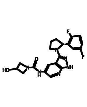 O=C(Nc1cnc2[nH]nc(N3CCC[C@@H]3c3cc(F)ccc3F)c2c1)N1CC(O)C1